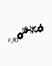 Cc1cc[c]c(Cn2nc(-c3cc(-c4ccc(OC(F)(F)F)cc4)no3)nc2C)c1